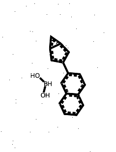 OBO.c1ccc2cc(-c3cc4cc-4c3)ccc2c1